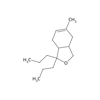 CCCC1(CCC)OCC2CC(C)=CCC21